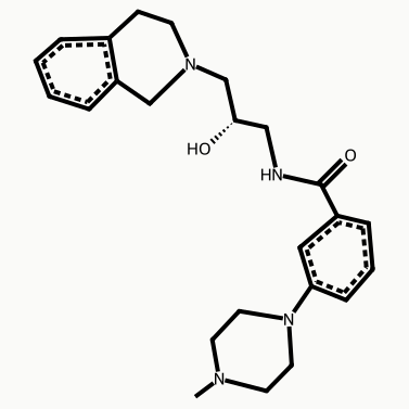 CN1CCN(c2cccc(C(=O)NC[C@H](O)CN3CCc4ccccc4C3)c2)CC1